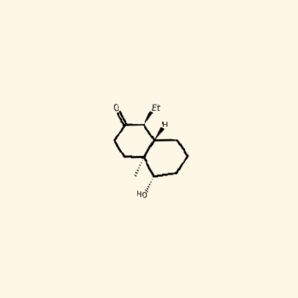 CC[C@@H]1C(=O)CC[C@]2(C)[C@@H](O)CCC[C@@H]12